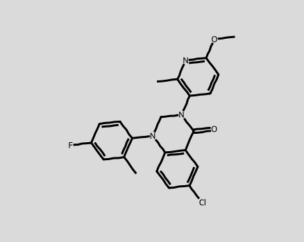 COc1ccc(N2CN(c3ccc(F)cc3C)c3ccc(Cl)cc3C2=O)c(C)n1